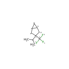 CC(C)C1(C(F)(F)F)CC2CC2C1